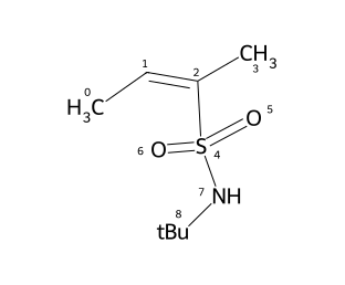 C/C=C(/C)S(=O)(=O)NC(C)(C)C